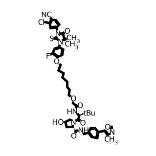 Cc1ncoc1-c1ccc(CNC(=O)[C@@H]2C[C@@H](O)CN2C(=O)[C@@H](NC(=O)COCCCCCCCCOc2ccc(N3C(=S)N(c4ccc(C#N)c(Cl)c4)C(=O)C3(C)C)cc2F)C(C)(C)C)cc1